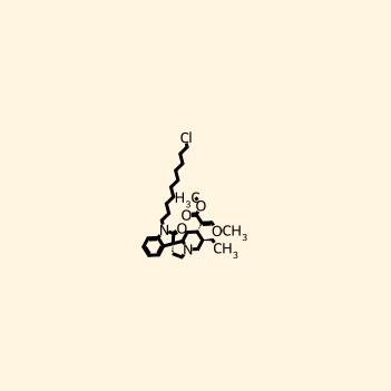 CC[C@H]1CN2CC[C@]3(C(=O)N(CCCCCCCCCCCl)c4ccccc43)C2C[C@@H]1/C(=C\OC)C(=O)OC